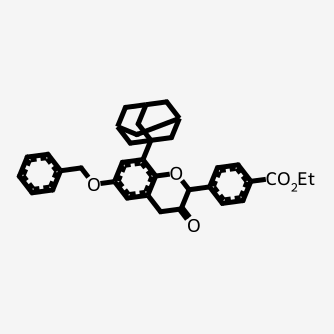 CCOC(=O)c1ccc(C2Oc3c(cc(OCc4ccccc4)cc3C34CC5CC(CC(C5)C3)C4)CC2=O)cc1